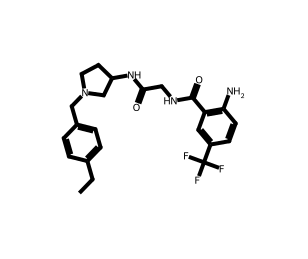 CCc1ccc(CN2CCC(NC(=O)CNC(=O)c3cc(C(F)(F)F)ccc3N)C2)cc1